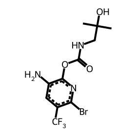 CC(C)(O)CNC(=O)Oc1nc(Br)c(C(F)(F)F)cc1N